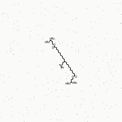 CCCCC(CCCC)CCOC(=O)CCCCCCCCCC(CCCCCCCCCC(=O)OCCC(CCCC)CCCC)CCN(C)C(C)C